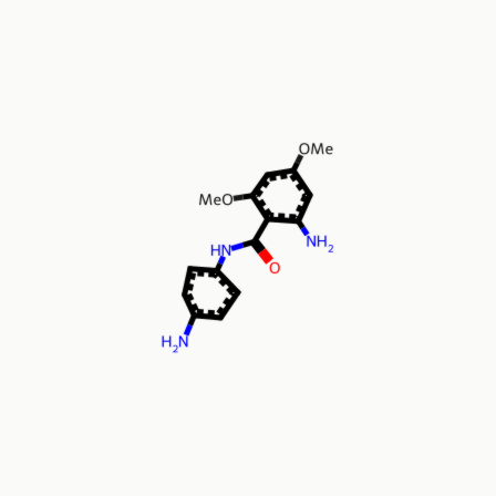 COc1cc(N)c(C(=O)Nc2ccc(N)cc2)c(OC)c1